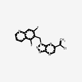 C=C(CC)c1cnc2nnn(Cc3c(F)cc4ncccc4c3F)c2n1